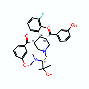 Cc1c(F)cccc1[C@H]1[C@@H](C(=O)c2cccc(O)c2)CN(C[C@@H](N(C)C)C(C)(C)O)C[C@H]1C(=O)c1cccc(O)c1